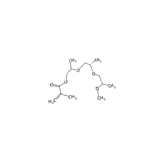 C=C(C)C(=O)OCC(C)OCC(C)OCC(C)OC